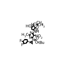 Cc1nc(N[C@@H]2C[C@H](O)[C@H]3OC(C)(C)O[C@H]32)c([N+](=O)[O-])c(N(C(=O)OC(C)(C)C)C2C[C@H]2c2ccc(F)c(F)c2)n1